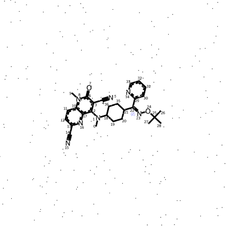 CN(c1c(C#N)c(=O)n(C)c2ccc(C#N)nc12)C1CCC(/C(=N/OC(C)(C)C)c2ccccn2)CC1